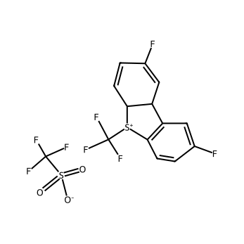 FC1=CC2c3cc(F)ccc3[S+](C(F)(F)F)C2C=C1.O=S(=O)([O-])C(F)(F)F